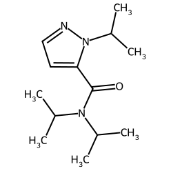 CC(C)N(C(=O)c1ccnn1C(C)C)C(C)C